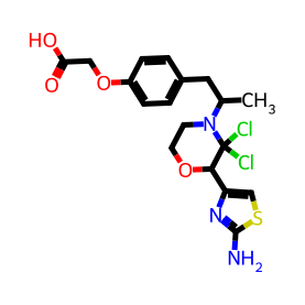 CC(Cc1ccc(OCC(=O)O)cc1)N1CCOC(c2csc(N)n2)C1(Cl)Cl